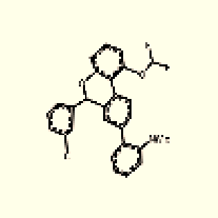 CNc1ccccc1-c1ccc2c(c1)C(c1cccc(Cl)c1)Oc1cccc(OC(F)F)c1-2